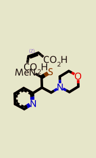 CNC(=S)C(CN1CCOCC1)c1ccccn1.O=C(O)/C=C\C(=O)O